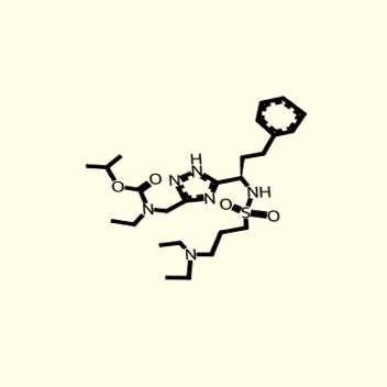 CCN(CC)CCCS(=O)(=O)N[C@H](CCc1ccccc1)c1nc(CN(CC)C(=O)OC(C)C)n[nH]1